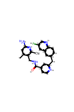 Cc1cc(N)nc(C#N)c1CNC(=O)c1ccnc(Cc2ccc3ncc(F)cc3c2)c1